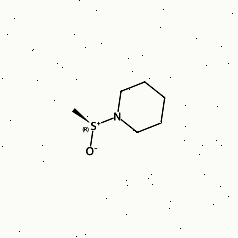 C[S@+]([O-])N1CCCCC1